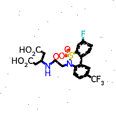 O=C(O)CC(CC(=O)O)NC(=O)CN1c2ccc(C(F)(F)F)cc2-c2ccc(F)cc2S1(=O)=O